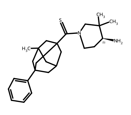 CC12CC3CC(C(=S)N4CC[C@H](N)C(C)(C)C4)(C1)CC(c1ccccc1)(C3)C2